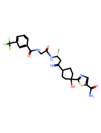 C[C@H](CC(=N)C1CCC(O)(c2ncc(C(N)=O)s2)CC1)NC(=O)CNC(=O)c1cccc(C(F)(F)F)c1